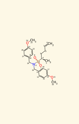 C=CCC[C@@H](C)S(=O)(=O)N(Cc1ccc(OC)cc1)Cc1ccc(OC)cc1